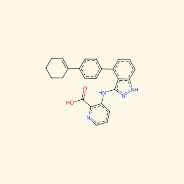 O=C(O)c1ncccc1Nc1n[nH]c2cccc(-c3ccc(C4=CCCCC4)cc3)c12